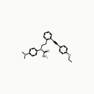 CCOc1ccc(C#Cc2ccccc2CCN(C(N)=O)c2ccc(N(C)C)cc2)cc1